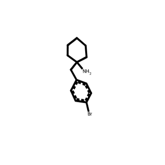 NC1(Cc2ccc(Br)cc2)CCCCC1